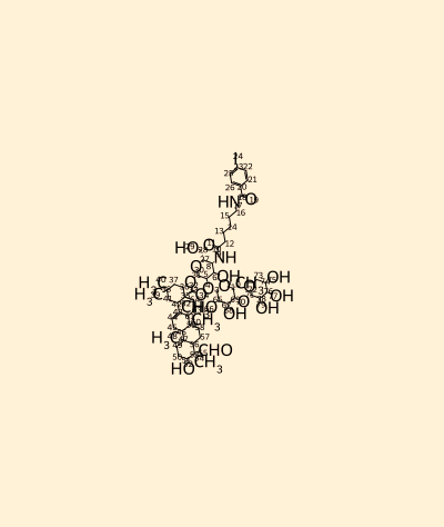 C[C@H]1O[C@@H](OC2C(O)[C@@H](NC(=O)CCCCCNC(=O)c3ccc(I)cc3)[C@@H](CO)O[C@H]2OC(=O)[C@]23CCC(C)(C)CC2C2=CCC4C5(C)CC[C@H](O)[C@](C)(C=O)C5CC[C@@]4(C)[C@]2(C)CC3)C(O)C(O)[C@H]1O[C@@H]1OC[C@@H](O)C(O)C1O